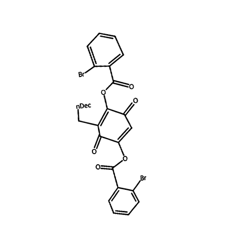 CCCCCCCCCCCC1=C(OC(=O)c2ccccc2Br)C(=O)C=C(OC(=O)c2ccccc2Br)C1=O